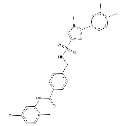 Cc1ccc(-c2nc(S(=O)(=O)NCc3ccc(C(=O)Nc4cc(Cl)ccc4C)cc3)cn2C)cc1C